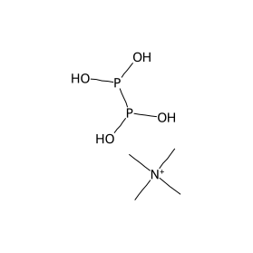 C[N+](C)(C)C.OP(O)P(O)O